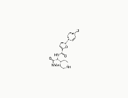 CNC(=O)C(NC(=O)c1ccc(-c2ccc(Cl)cc2)o1)C1CCNCC1